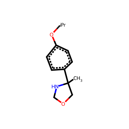 CC(C)Oc1ccc(C2(C)COCN2)cc1